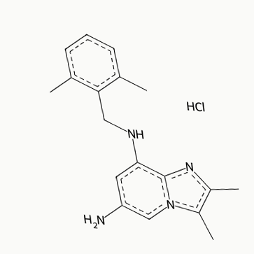 Cc1cccc(C)c1CNc1cc(N)cn2c(C)c(C)nc12.Cl